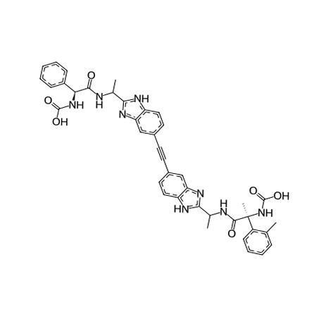 Cc1ccccc1[C@](C)(NC(=O)O)C(=O)NC(C)c1nc2cc(C#Cc3ccc4[nH]c(C(C)NC(=O)[C@@H](NC(=O)O)c5ccccc5)nc4c3)ccc2[nH]1